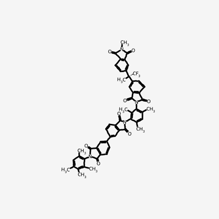 Cc1cc(C)c(N2C(=O)c3ccc(-c4ccc5c(c4)C(=O)N(c4c(C)cc(C)c(N6C(=O)c7ccc([C@@](C)(c8ccc9c(c8)C(=O)N(C)C9=O)C(F)(F)F)cc7C6=O)c4C)C5=O)cc3C2=O)c(C)c1C